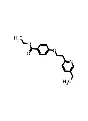 CCOC(=O)c1ccc(OCCc2ccc(CC)cn2)cc1